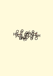 CCC(NCc1cn(C2CCOC2)c2cc(NC3CCCCC3)c(F)cc2c1=O)C(=O)OC(=O)C(=O)OC(=O)C(CC)NCc1cn(C2CCOC2)c2cc(NC3CCCCC3)c(F)cc2c1=O